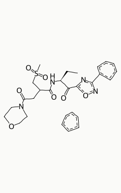 CC[C@H](NC(=O)C(CC(=O)N1CCOCC1)CS(C)(=O)=O)C(=O)c1nc(-c2ccccc2)no1.c1ccccc1